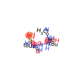 CC1=C(c2ccc(CNC(=O)[C@@H]3C[C@@H](O)CN3C(=O)C(NC(=O)CCCCNC(=O)CCN(C(=O)[C@@H]3CCCN3C(=O)C(NC(=O)c3cc4cc(C(F)(F)P(=O)(O)O)ccc4s3)C(C)(C)C)c3ccc(Br)cc3)C(C)(C)C)cc2)CC=N1